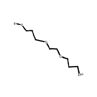 CCOCCCOCCOCCCO